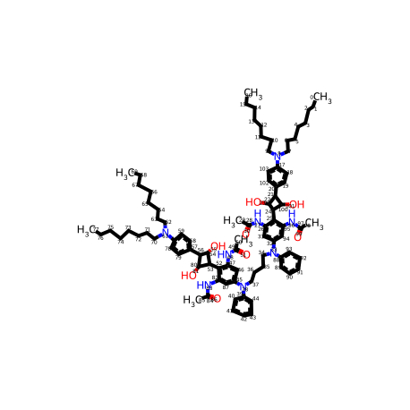 CCCCCCCCN(CCCCCCCC)c1ccc(C2C(O)C(c3c(NC(C)=O)cc(N(CCCCN(c4ccccc4)c4cc(NC(C)=O)c(C5C(O)C(c6ccc(N(CCCCCCCC)CCCCCCCC)cc6)C5O)c(NC(C)=O)c4)c4ccccc4)cc3NC(C)=O)C2O)cc1